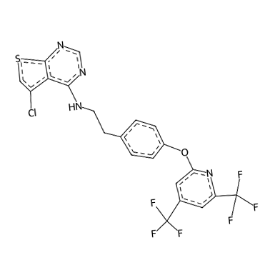 FC(F)(F)c1cc(Oc2ccc(CCNc3ncnc4scc(Cl)c34)cc2)nc(C(F)(F)F)c1